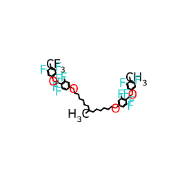 Cc1c(F)cc(OC(F)(F)c2c(F)cc(OCCCCCCC(C)CCCCCCOc3cc(F)c(C(F)(F)Oc4cc(F)c(C(F)(F)F)c(F)c4)c(F)c3)cc2F)cc1F